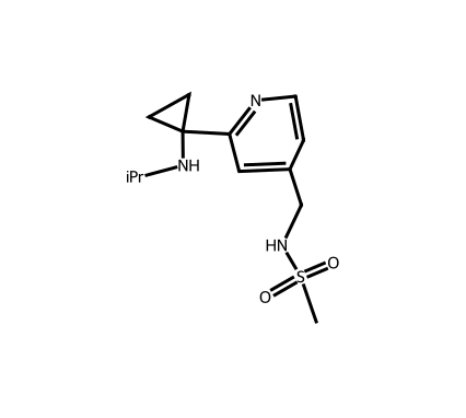 CC(C)NC1(c2cc(CNS(C)(=O)=O)ccn2)CC1